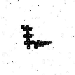 O.O.O.O.O=[N+]([O-])[O-].O=[N+]([O-])[O-].O=[N+]([O-])[O-].O=[N+]([O-])[O-].[Ti+4]